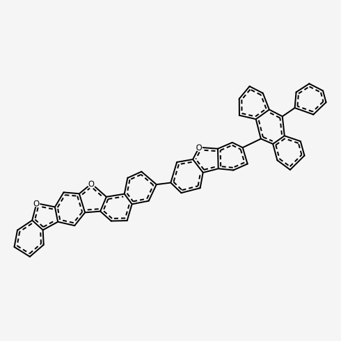 c1ccc(-c2c3ccccc3c(-c3ccc4c(c3)oc3cc(-c5ccc6c(ccc7c8cc9c(cc8oc67)oc6ccccc69)c5)ccc34)c3ccccc23)cc1